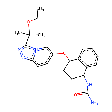 CCOC(C)(C)c1nnc2ccc(OC3CCC(NC(N)=O)c4ccccc43)cn12